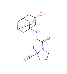 N#CC1(I)CCCN1C(=O)CNC12CC3CC(CC(O)(C3)C1)C2